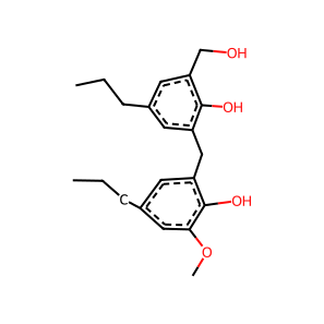 CCCc1cc(CO)c(O)c(Cc2cc(CCC)cc(OC)c2O)c1